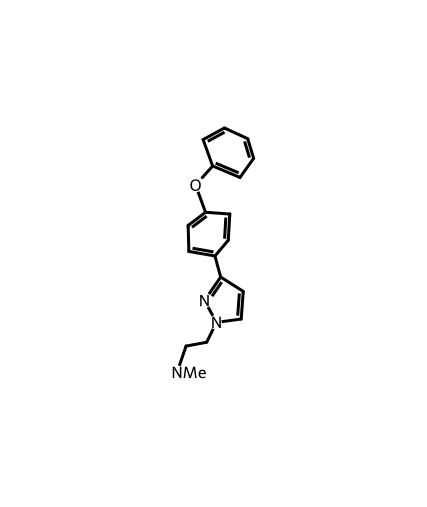 CNCCn1ccc(-c2ccc(Oc3ccccc3)cc2)n1